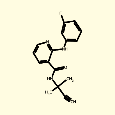 C#CC(C)(C)NC(=O)c1cccnc1Nc1cccc(F)c1